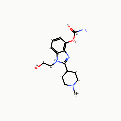 CCCN1CCC(c2nc3c(OC(N)=O)cccc3n2CCO)CC1